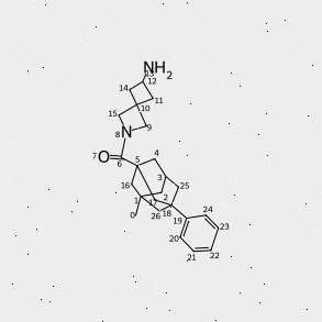 CC12CC3CC(C(=O)N4CC5(CC(N)C5)C4)(C1)CC(c1ccccc1)(C3)C2